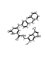 O=C(NCc1cc2c(Cl)c[nH]c2cc1F)c1cc(Cc2ccc(Cn3ccccc3=O)cc2)cc(=O)[nH]1